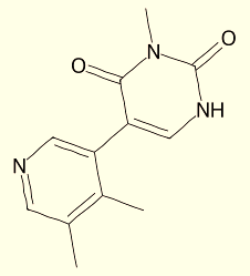 Cc1cncc(-c2c[nH]c(=O)n(C)c2=O)c1C